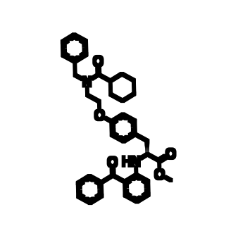 COC(=O)[C@H](Cc1ccc(OCCN(Cc2ccccc2)C(=O)C2CCCCC2)cc1)Nc1ccccc1C(=O)c1ccccc1